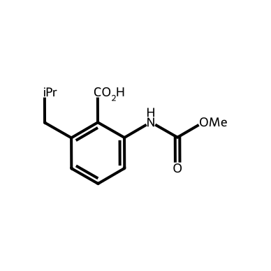 COC(=O)Nc1cccc(CC(C)C)c1C(=O)O